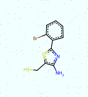 Nc1nc(-c2ccccc2Br)sc1CS